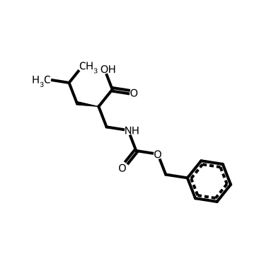 CC(C)C[C@H](CNC(=O)OCc1ccccc1)C(=O)O